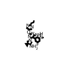 CCCc1ncc(Oc2nc(N3C[C@H](N)C4(CC4)C3)c3c(n2)[nH]c2c(NC)cc(F)cc23)cn1